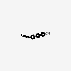 N#Cc1ccc(-c2ccc([C@H]3CC[C@H](/C=C/CCCF)CC3)cc2)cc1